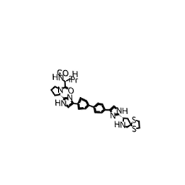 CC(C)[C@H](NC(=O)O)C(=O)N1CCC[C@H]1c1nc(-c2ccc(-c3ccc(-c4c[nH]c([C@@H]5CC6(CN5)SCCS6)n4)cc3)cc2)c[nH]1